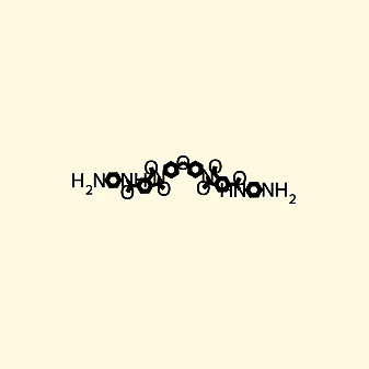 Nc1ccc(NC(=O)c2ccc3c(c2)C(=O)N(c2ccc(Oc4ccc(N5C(=O)c6ccc(C(=O)Nc7ccc(N)cc7)cc6C5=O)cc4)cc2)C3=O)cc1